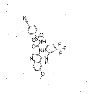 COc1ccc2ncc(NC(=O)NS(=O)(=O)c3ccc(C#N)cc3)c(Nc3cccc(C(F)(F)F)c3)c2c1